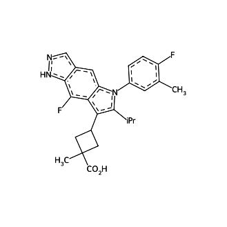 Cc1cc(-n2c(C(C)C)c(C3CC(C)(C(=O)O)C3)c3c(F)c4[nH]ncc4cc32)ccc1F